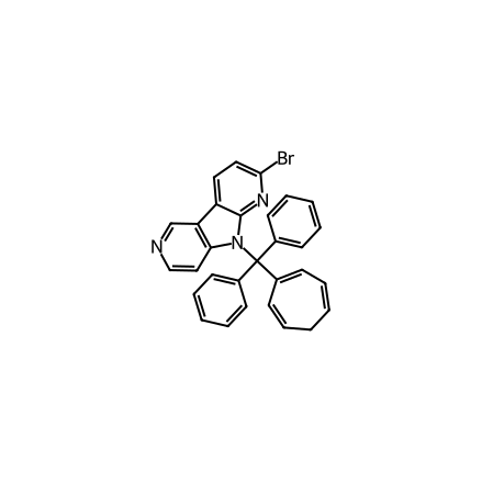 Brc1ccc2c3cnccc3n(C(C3=CC=CCC=C3)(c3ccccc3)c3ccccc3)c2n1